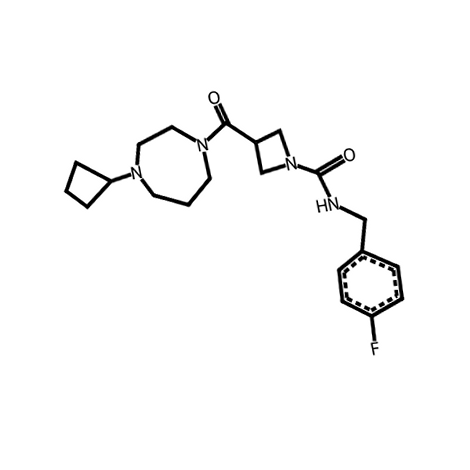 O=C(NCc1ccc(F)cc1)N1CC(C(=O)N2CCCN(C3CCC3)CC2)C1